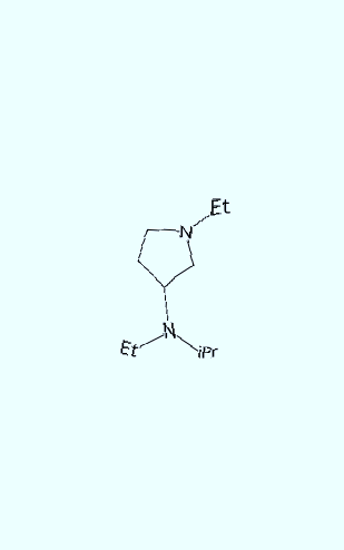 CCN1CCC(N(CC)C(C)C)C1